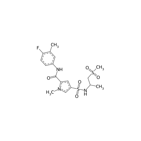 Cc1cc(NC(=O)c2cc(S(=O)(=O)NC(C)CS(C)(=O)=O)cn2C)ccc1F